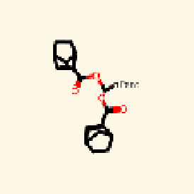 CCCCCC(OC(=O)C1=CC2CCC1C2)OC(=O)C1=CC2CCC1C2